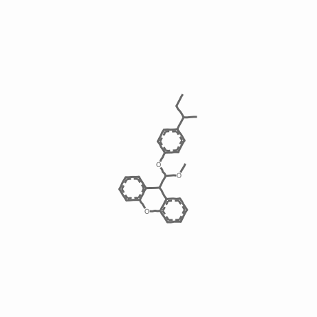 CCC(C)c1ccc(OC(OC)C2c3ccccc3Oc3ccccc32)cc1